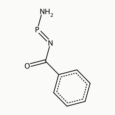 NP=NC(=O)c1ccccc1